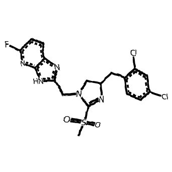 CS(=O)(=O)C1=NC(Cc2ccc(Cl)cc2Cl)CN1Cc1nc2ccc(F)nc2[nH]1